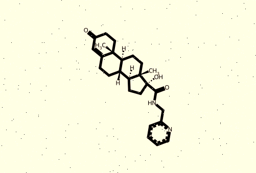 C[C@]12CCC(=O)C=C1CC[C@@H]1[C@@H]2CC[C@@]2(C)[C@H]1CC[C@]2(O)C(=O)NCc1ccccn1